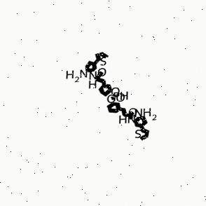 Nc1ccc(-c2cccs2)cc1NC(=O)/C=C/c1cccc(O[PH](=O)Oc2cccc(/C=C/C(=O)Nc3cc(-c4cccs4)ccc3N)c2)c1